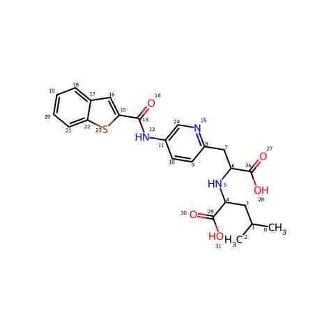 CC(C)CC(NC(Cc1ccc(NC(=O)c2cc3ccccc3s2)cn1)C(=O)O)C(=O)O